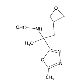 Cc1nnc(C(C)(CC2COC2)NC=O)o1